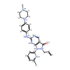 C=CCn1c(=O)c2cnc(Nc3ccc(N4CCN(C)CC4)cc3)nc2n1-c1cccc(C)n1